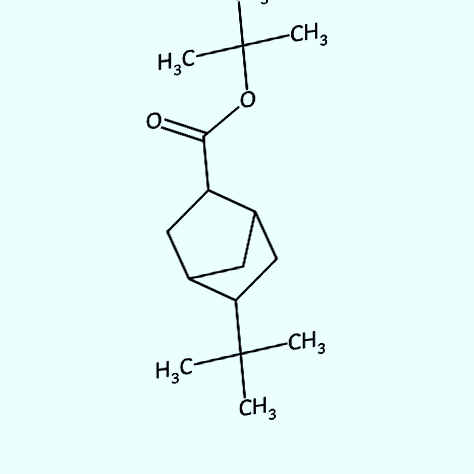 CC(C)(C)OC(=O)C1CC2CC1CC2C(C)(C)C